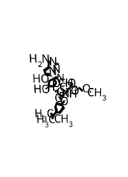 C/N=C\[C@@]1(c2ccc3c(N)ncnn23)O[C@H](COP(=O)(N[C@@H](C)C(=O)OCCOC)Oc2ccc(C(C)(C)C)cc2)[C@@H](O)[C@H]1O